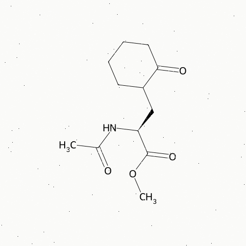 COC(=O)[C@H](CC1CCCCC1=O)NC(C)=O